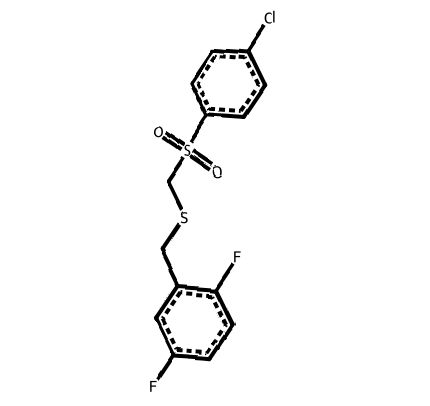 O=S(=O)(CSCc1cc(F)ccc1F)c1ccc(Cl)cc1